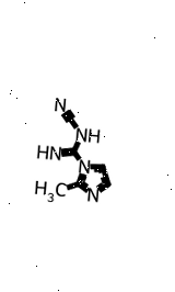 Cc1nccn1C(=N)NC#N